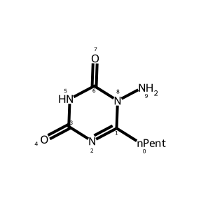 CCCCCc1nc(=O)[nH]c(=O)n1N